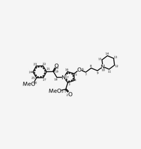 COC(=O)c1cc(OCCCN2CCCCC2)cn1CC(=O)c1cccc(OC)c1